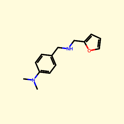 CN(C)c1ccc(CNCc2ccco2)cc1